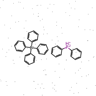 c1ccc([B-](c2ccccc2)(c2ccccc2)c2ccccc2)cc1.c1ccc([PH2+]c2ccccc2)cc1